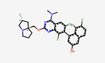 CCc1c(F)ccc2cc(O)cc(-c3c(Cl)cc4c(N(C)C)nc(OC[C@@]56CCCN5C[C@H](F)C6)nc4c3F)c12